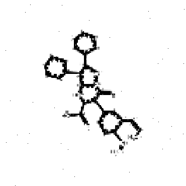 C=Nc1ccc(-c2c(C(=O)O)[nH]c3c(-c4ccccc4)c(-c4ccccc4)nn3c2=O)cc1/C=C\C